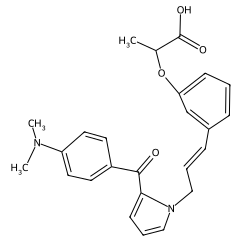 CC(Oc1cccc(/C=C/Cn2cccc2C(=O)c2ccc(N(C)C)cc2)c1)C(=O)O